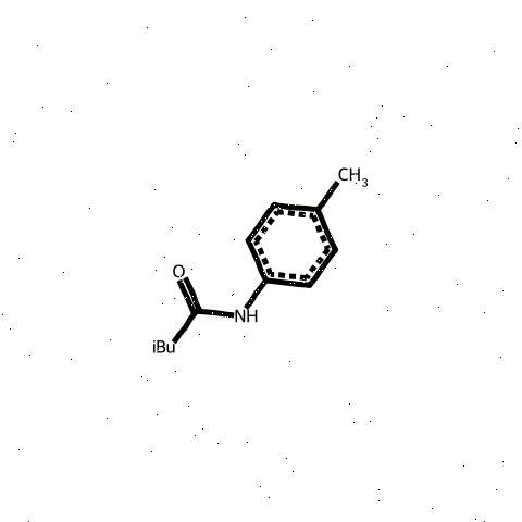 CCC(C)C(=O)Nc1ccc(C)cc1